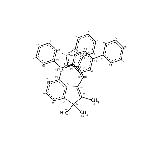 C=c1oc2ccccc2/c1=C/C1=C(C)C(C)(C)c2ccnc(N(c3ccccc3)c3ccc(-c4ccccc4)cc3)c21